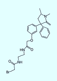 C=C1N(C)C(C)CC1(c1ccccc1)c1cccc(OCC(=O)NCCNC(=O)CBr)c1